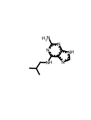 CC(C)CNc1nc(N)nc2[nH]cnc12